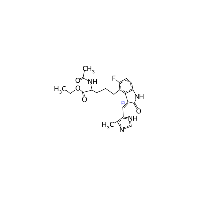 CCOC(=O)C(CCCc1c(F)ccc2c1/C(=C/c1[nH]cnc1C)C(=O)N2)NC(C)=O